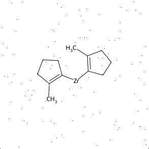 CC1=[C]([Zr][C]2=C(C)CCC2)CCC1